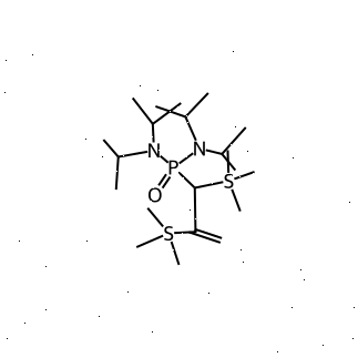 C=C(C(P(=O)(N(C(C)C)C(C)C)N(C(C)C)C(C)C)S(C)(C)C)S(C)(C)C